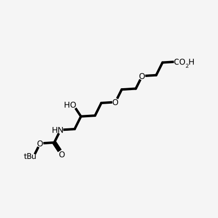 CC(C)(C)OC(=O)NCC(O)CCOCCOCCC(=O)O